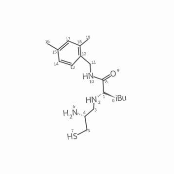 CC[C@H](C)[C@H](NC[C@@H](N)CS)C(=O)NCc1ccc(C)cc1C